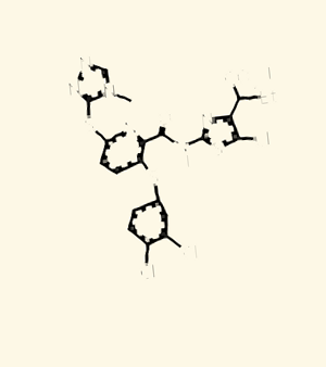 CCC(C(=O)O)c1nc(NC(=O)c2nc(Sc3nncn3C)ccc2Sc2ccc(Cl)c(Cl)c2)sc1Cl